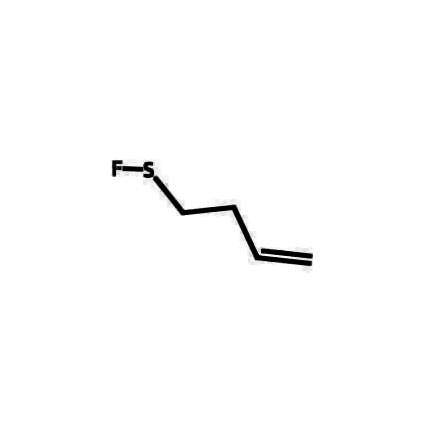 C=CCCSF